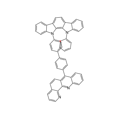 c1ccc(-n2c3ccccc3c3ccc4c5ccccc5n(-c5ccc(-c6ccc(-c7c8ccccc8nc8c7ccc7cccnc78)cc6)cc5)c4c32)cc1